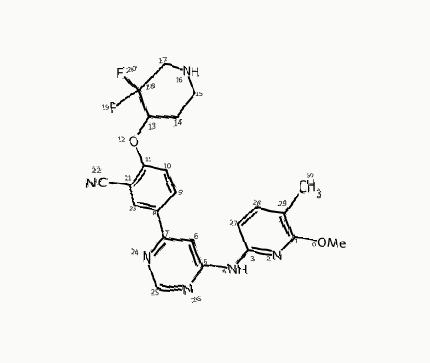 COc1nc(Nc2cc(-c3ccc(OC4CCNCC4(F)F)c(C#N)c3)ncn2)ccc1C